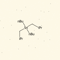 CCC[CH2][Sn]([CH2]CCC)([CH2]C(C)C)[CH2]C(C)C